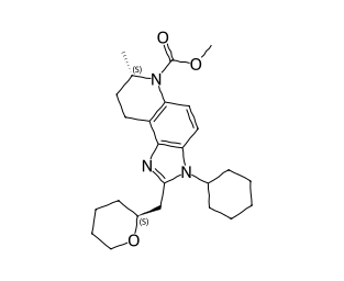 COC(=O)N1c2ccc3c(nc(C[C@@H]4CCCCO4)n3C3CCCCC3)c2CC[C@@H]1C